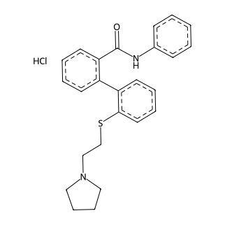 Cl.O=C(Nc1ccccc1)c1ccccc1-c1ccccc1SCCN1CCCC1